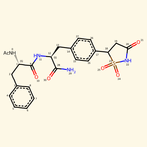 CC(=O)N[C@@H](Cc1ccccc1)C(=O)N[C@@H](Cc1ccc(C2CC(=O)NS2(=O)=O)cc1)C(N)=O